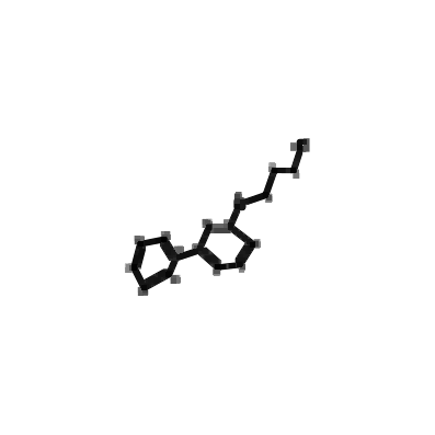 ClCCCOc1cccc(-c2ccccc2)c1